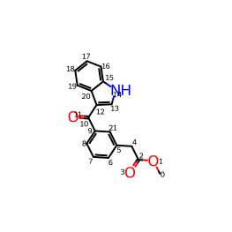 COC(=O)Cc1cccc(C(=O)c2c[nH]c3ccccc23)c1